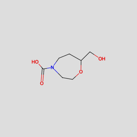 O=C(O)N1CCOC(CO)CC1